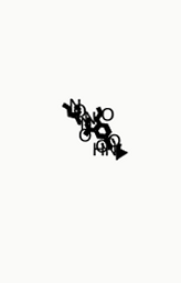 CC(=O)c1nn(Cc2cc(C)no2)c(=O)c2cc(S(=O)(=O)NC3(C)CC3)ccc12